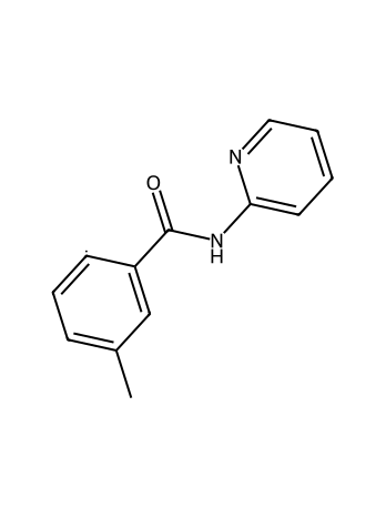 Cc1cc[c]c(C(=O)Nc2ccccn2)c1